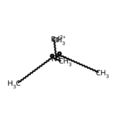 CCCCCCCCCCCCCCCCCCCCCCCCC/C=C/CCc1ccccc1/N=C(CCCC)\C(CCCCCCCCCCCC)=N\c1ccccc1CC/C=C/CCCCCCCCCCCCCCCCCCCCCCCCC.[Pd+2]